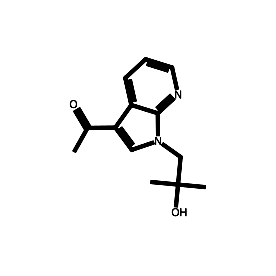 CC(=O)c1cn(CC(C)(C)O)c2ncccc12